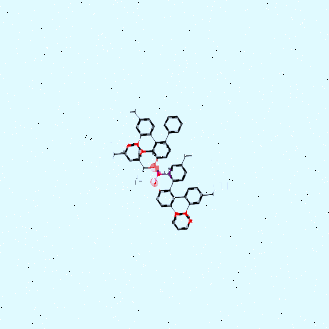 CC(C)c1ccc(-c2c(OPOc3ccc(-c4ccccc4)c(-c4ccc(C(C)C)cc4C(C)C)c3-c3ccc(C(C)C)cc3C(C)C)ccc(-c3ccccc3)c2-c2ccc(C(C)C)cc2C(C)C)c(C(C)C)c1